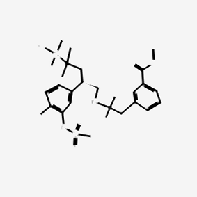 COC(=O)c1cccc(CC(C)(C)NC[C@H](CC(C)(C)[Si](C)(C)O)c2ccc(O)c(NS(C)(=O)=O)c2)c1